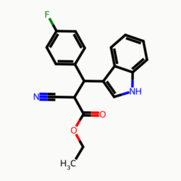 CCOC(=O)C(C#N)C(c1ccc(F)cc1)c1c[nH]c2ccccc12